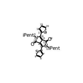 CCCC(C)N1C(=O)C2=C(c3cccs3)N(C(C)CCC)C(=O)C2=C1c1cccs1